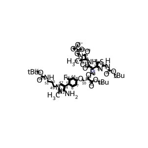 C[n+]1c(N)c(-c2ccc(OC[C@H](O/N=C(\C(=O)N[C@@H]3C(=O)N(OS(=O)(=O)[O-])C3(C)C)c3csc(NC(=O)OC(C)(C)C)n3)C(=O)OC(C)(C)C)cc2F)cn1CCCNC(=O)OC(C)(C)C